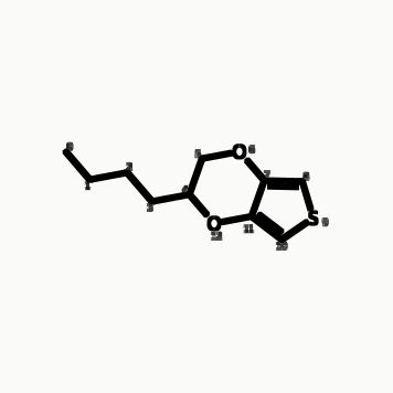 CCCCC1COc2cscc2O1